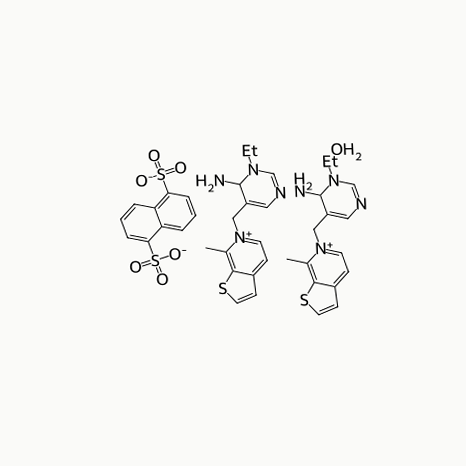 CCN1C=NC=C(C[n+]2ccc3ccsc3c2C)C1N.CCN1C=NC=C(C[n+]2ccc3ccsc3c2C)C1N.O.O=S(=O)([O-])c1cccc2c(S(=O)(=O)[O-])cccc12